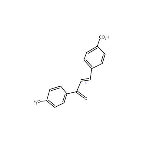 O=C(O)c1ccc(/C=C/C(=O)c2ccc(C(F)(F)F)cc2)cc1